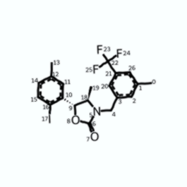 Cc1cc(CN2C(=O)O[C@H](c3cc(C)ccc3I)[C@H]2C)cc(C(F)(F)F)c1